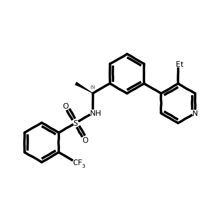 CCc1cnccc1-c1cccc([C@H](C)NS(=O)(=O)c2ccccc2C(F)(F)F)c1